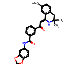 COc1ccc2c(c1)C(=CC(=O)c1cccc(C(=O)Nc3ccc4c(c3)OCO4)c1)NC(C)(C)C2